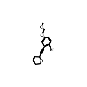 COCOc1ccc(Br)c(C#CC2CCCCO2)c1